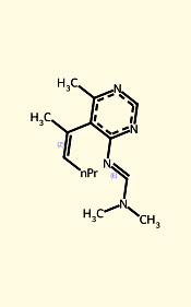 CCC/C=C(/C)c1c(C)ncnc1/N=C/N(C)C